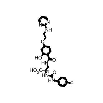 O=C(Nc1ccc(F)cc1)N[C@@H](CNC(=O)c1ccc(OCCNc2ncccn2)cc1O)C(=O)O